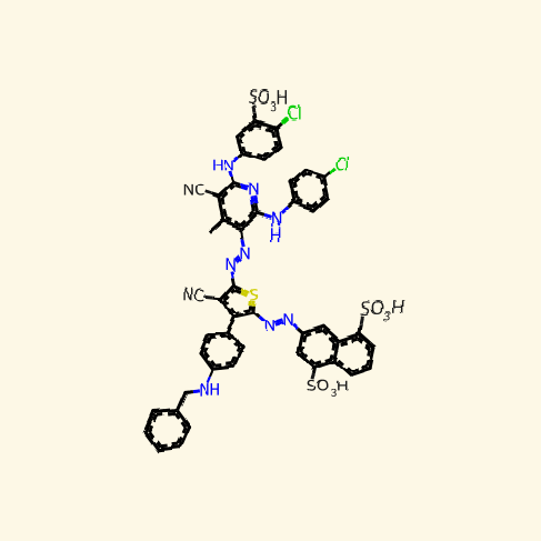 Cc1c(C#N)c(Nc2ccc(Cl)c(S(=O)(=O)O)c2)nc(Nc2ccc(Cl)cc2)c1N=Nc1sc(/N=N/c2cc(S(=O)(=O)O)c3cccc(S(=O)(=O)O)c3c2)c(-c2ccc(NCc3ccccc3)cc2)c1C#N